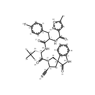 Cc1cc(C(=O)NC(Cc2ccc(F)cc2)C(=O)N[C@@H](CC(C)(C)C)C(=O)N2C[C@]3(C[C@H]2C#N)C(=O)Nc2ccccc23)no1